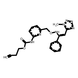 C#CCCOC(=O)Nc1cccc(CONC(=Cc2nnnn2C)c2ccccc2)n1